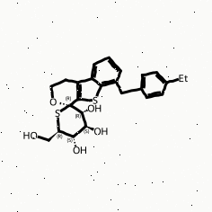 CCc1ccc(Cc2cccc3c4c(sc23)[C@]2(OCC4)S[C@H](CO)[C@@H](O)[C@H](O)[C@H]2O)cc1